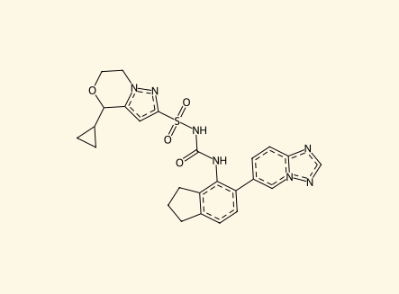 O=C(Nc1c(-c2ccc3ncnn3c2)ccc2c1CCC2)NS(=O)(=O)c1cc2n(n1)CCOC2C1CC1